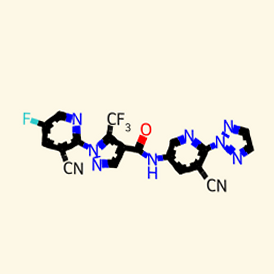 N#Cc1cc(NC(=O)c2cnn(-c3ncc(F)cc3C#N)c2C(F)(F)F)cnc1-n1nccn1